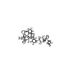 O=C(N[C@@H](Cc1ccc(C2=CCN(C(=O)c3ccsc3)CC2)cc1)C(=O)O)c1c(Cl)cccc1Cl